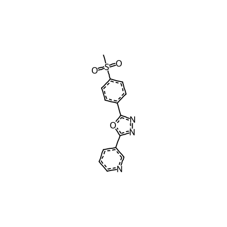 CS(=O)(=O)c1ccc(-c2nnc(-c3cccnc3)o2)cc1